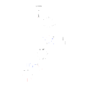 CCC(Oc1ccc(C(=O)C2CC2)cc1)c1nc(-c2ccc(C(=O)NC(CO)CO)c(F)c2)no1